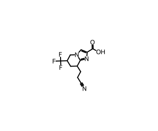 N#CCCC1CC(C(F)(F)F)Cn2cc(C(=O)O)nc21